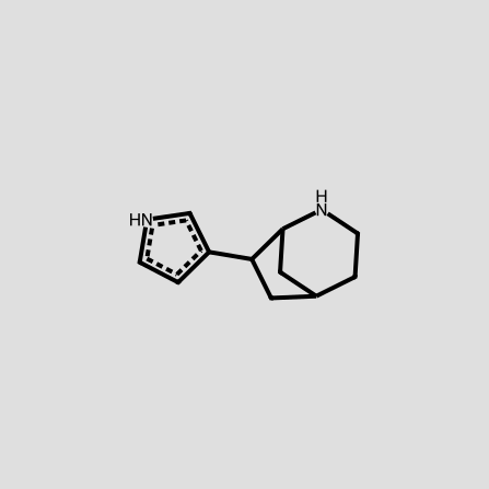 c1cc(C2CC3CCNC2C3)c[nH]1